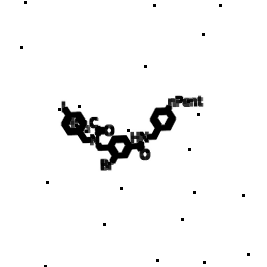 CCCCCc1ccc(CNC(=O)c2ccc(CN(Cc3ccc(I)cc3)C(=O)C(=O)O)c(Br)c2)cc1